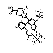 CC(COc1cc(F)cc(F)c1-c1c(-c2cc3n(n2)[C@@H](C)CN(C(=O)O)C3)nc(OS(=O)(=O)C(F)(F)F)c2ccsc12)O[Si](C)(C)C(C)(C)C